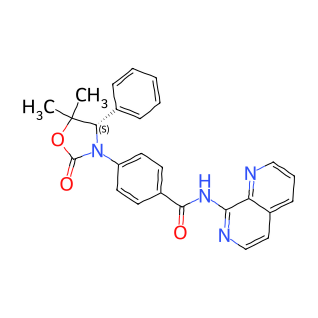 CC1(C)OC(=O)N(c2ccc(C(=O)Nc3nccc4cccnc34)cc2)[C@H]1c1ccccc1